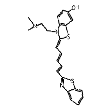 CN(C)CCN1/C(=C/C=C/C=C/c2nc3ccccc3s2)Sc2cc(O)ccc21